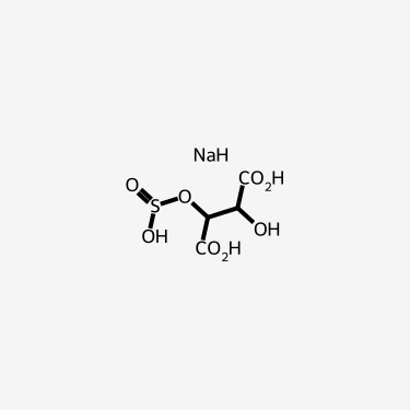 O=C(O)C(O)C(OS(=O)O)C(=O)O.[NaH]